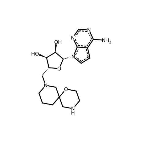 Nc1ncnc2c1ccn2[C@@H]1O[C@H](CN2CCCC3(CNCCO3)C2)[C@@H](O)[C@H]1O